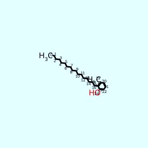 CCCCCCCCCCCCCCCCCc1c(C)cccc1O